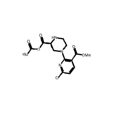 COC(=O)c1ccc(Cl)nc1N1CCNC(C(=O)OC(=O)C(C)(C)C)C1